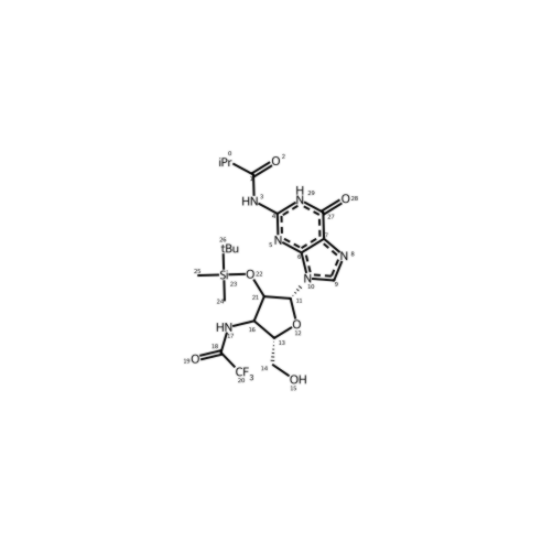 CC(C)C(=O)Nc1nc2c(ncn2[C@@H]2O[C@H](CO)C(NC(=O)C(F)(F)F)C2O[Si](C)(C)C(C)(C)C)c(=O)[nH]1